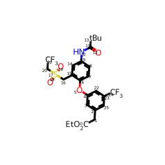 CCOC(=O)Cc1cc(Oc2ccc(NC(=O)C(C)(C)C)cc2CS(=O)(=O)CC(F)(F)F)cc(C(F)(F)F)c1